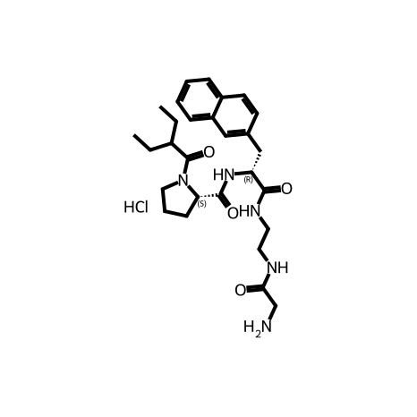 CCC(CC)C(=O)N1CCC[C@H]1C(=O)N[C@H](Cc1ccc2ccccc2c1)C(=O)NCCNC(=O)CN.Cl